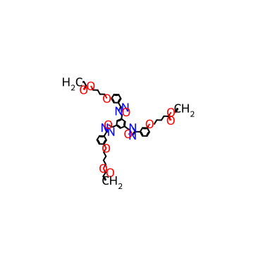 C=COC(=O)CCCCOc1cccc(-c2noc(-c3cc(-c4nc(-c5cccc(OCCCCOC(=O)C=C)c5)no4)cc(-c4nc(-c5cccc(OCCCCOC(=O)C=C)c5)no4)c3)n2)c1